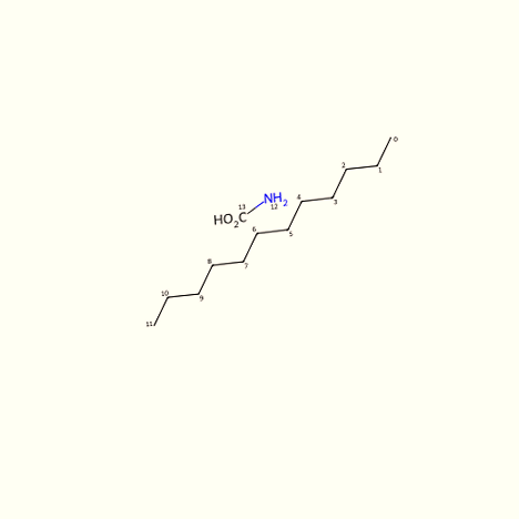 CCCCCCCCCCCC.NC(=O)O